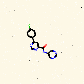 O=C(Nc1cncnc1)c1cc(-c2ccc(Cl)cc2)ncn1